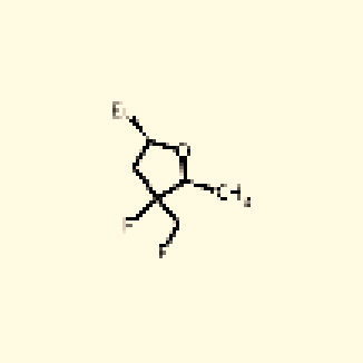 CC[C@@H]1CC(F)(CF)[C@H](C)O1